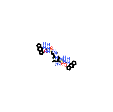 CC(Cl)c1cc(S(=O)(=NC2CN(C(C)c3cc(S(=N)(=O)NC(=O)Nc4c5c(cc6c4CCC6)CCC5)nn3C)C2)NC(=O)Nc2c3c(cc4c2CCC4)CCC3)nn1C